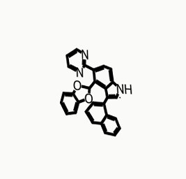 [c]1[nH]c2ccc(-c3ncccn3)c(C3Oc4ccccc4O3)c2c1-c1cccc2ccccc12